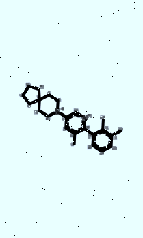 Cc1cc(N2CCC3(CCCC3)CC2)cnc1-c1cccc(C)c1C